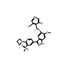 COc1cc2[nH]nc(-c3cnc(N4CC[C@H]4C)c(S(C)(=O)=O)c3)c2cc1O[C@H](C)c1c(Cl)cncc1Cl